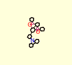 O=P1(c2ccccc2)c2cccc3c2-c2c1cc(-c1cccc(-n4c5ccccc5c5ccccc54)c1)cc2P3(=O)c1ccccc1